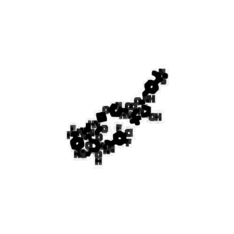 Cc1nc([C@@H]2O[C@H](CO)[C@H](O)[C@H](n3cc(-c4cc(F)c(Cl)c(F)c4)nn3)[C@H]2OCC(=O)N[C@H]2C[C@@H](Oc3ccc(C(=O)N[C@H](C(=O)N4C[C@H](O)C[C@H]4C(=O)NCc4ccc(-c5scnc5C)cc4)C(C)(C)C)nc3)C2)n(-c2cc(Cl)ccc2C(F)(F)F)n1